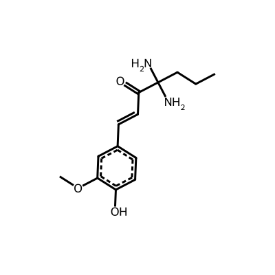 CCCC(N)(N)C(=O)C=Cc1ccc(O)c(OC)c1